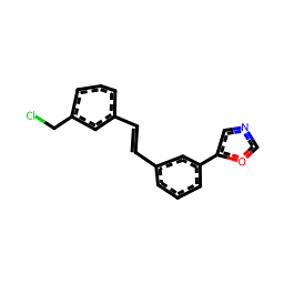 ClCc1cccc(/C=C/c2cccc(-c3cnco3)c2)c1